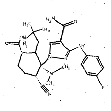 CN(C)[C@@]1(n2cc(C(N)=O)c(Nc3ccc(F)cc3)n2)C(CC(C)(C)C)N(C(=O)O)CC[C@H]1C#N